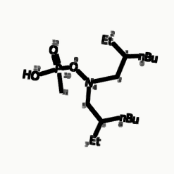 CCCCC(CC)CN(CC(CC)CCCC)OP(C)(=O)O